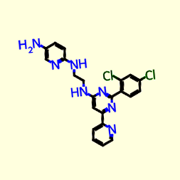 Nc1ccc(NCCNc2cc(-c3ccccn3)nc(-c3ccc(Cl)cc3Cl)n2)nc1